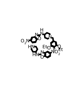 CCOc1cc(CN2CCC(Nc3nc4cc([N+](=O)[O-])ccc4o3)CC2)cc(OCC)c1F.O=[N+]([O-])c1ccc2oc(NC3CCNCC3)nc2c1